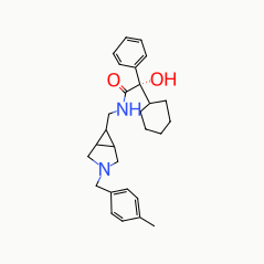 Cc1ccc(CN2CC3C(CNC(=O)[C@@](O)(c4ccccc4)C4CCCCC4)C3C2)cc1